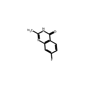 Cc1nc2cc(F)ccc2c(=O)[nH]1